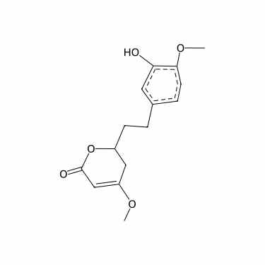 COC1=CC(=O)OC(CCc2ccc(OC)c(O)c2)C1